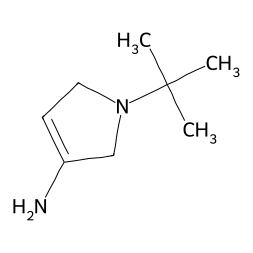 CC(C)(C)N1CC=C(N)C1